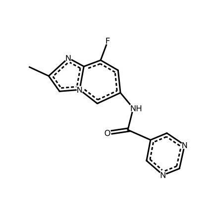 Cc1cn2cc(NC(=O)c3cncnc3)cc(F)c2n1